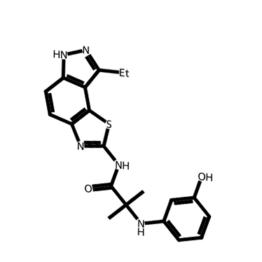 CCc1n[nH]c2ccc3nc(NC(=O)C(C)(C)Nc4cccc(O)c4)sc3c12